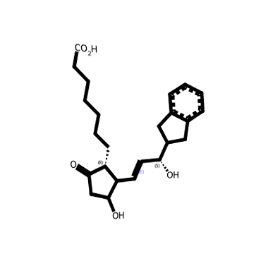 O=C(O)CCCCCC[C@H]1C(=O)CC(O)C1/C=C/[C@@H](O)C1Cc2ccccc2C1